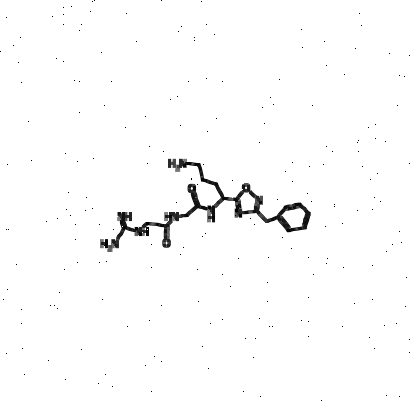 N=C(N)NCC(=O)NCC(=O)NC(CCCN)c1nc(Cc2ccccc2)no1